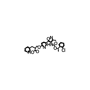 Cc1noc(-c2ccc(OCC(Cc3ccccc3)C(=O)O)nc2)c1NC(=O)OC(C)c1ccccc1Cl